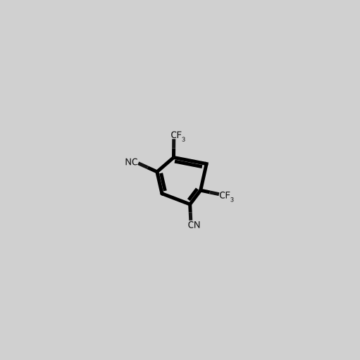 N#Cc1cc(C#N)c(C(F)(F)F)cc1C(F)(F)F